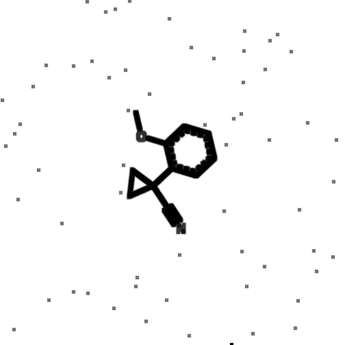 COc1ccccc1C1(C#N)CC1